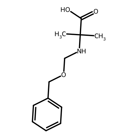 CC(C)(NCOCc1ccccc1)C(=O)O